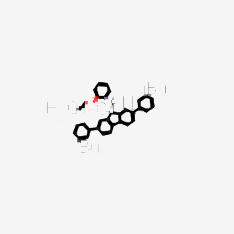 C=CCOc1ccccc1[Si](C)(C)C1c2cc(-c3cccc(C(C)CC)c3)ccc2-c2ccc(-c3cccc(C(C)CC)c3)cc21